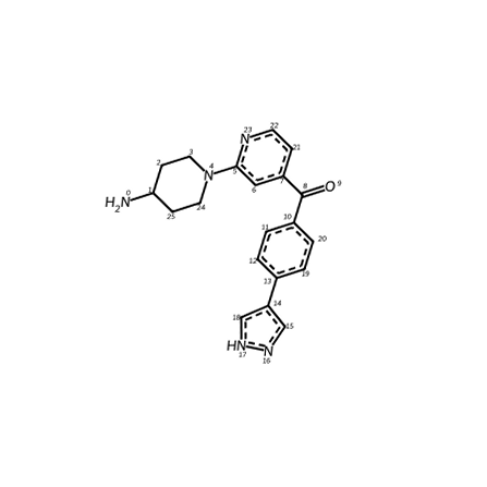 NC1CCN(c2cc(C(=O)c3ccc(-c4cn[nH]c4)cc3)ccn2)CC1